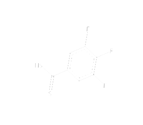 Fc1cc(C(=S)S)cc(F)c1F